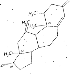 C=C1C[C@@]2(C)C(CC[C@@H]2C(C)=O)C2CCC3=CC(=O)CC(C)[C@]3(C)C12